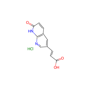 Cl.O=C(O)/C=C/c1cnc2[nH]c(=O)ccc2c1